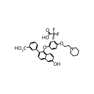 O=C(O)C(F)(F)F.O=C(O)c1cccc(-c2ccc3cc(O)ccc3c2Oc2ccc(OCCN3CCCCC3)cc2)c1